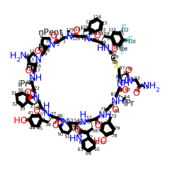 CCCCC[C@H]1C(=O)N2CCC[C@@H]2C(=O)N2C[C@H](N)C[C@H]2C(=O)N[C@@H](C(C)C)C(=O)N(C)[C@@H](Cc2ccccc2)C(=O)N[C@@H](Cc2ccc(O)cc2)C(=O)N2CCCC[C@@H]2C(=O)N[C@@H](Cc2c[nH]c3ccccc23)C(=O)N[C@@H](Cc2ccc(O)cc2)C(=O)N[C@@H](CC(C)C)C(=O)N[C@H](C(=O)NCC(N)=O)CSCC(=O)N[C@@H](Cc2cc(F)c(F)c(F)c2)C(=O)N(C)[C@@H](Cc2ccccc2)C(=O)N1C